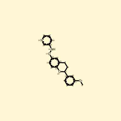 COc1cccc(C2CCc3cc(ONc4cccnc4)ccc3O2)c1